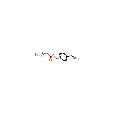 BCc1ccc(COC(=O)CS(=O)(=O)O)cc1